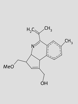 C=C(C)C1=NC2C(COC)C=C(CO)C2c2ccc(C)cc21